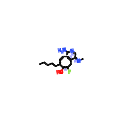 CCCCCC1=C=C/C=C(C(/C=N\C(C)N)=N/C)\C/C(F)=C\1O